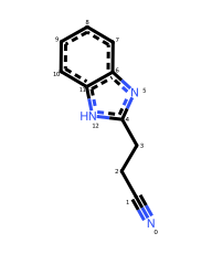 N#CCCc1nc2ccccc2[nH]1